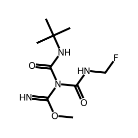 COC(=N)N(C(=O)NCF)C(=O)NC(C)(C)C